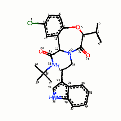 CC(C)C1Oc2ccc(Cl)cc2C(C(=O)NC(C)(C)C)N(CCc2c[nH]c3ccccc23)C1=O